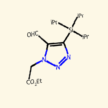 CCOC(=O)Cn1nnc([Si](C(C)C)(C(C)C)C(C)C)c1C=O